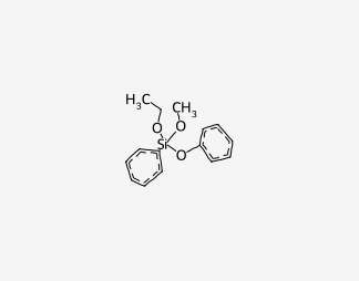 CCO[Si](OC)(Oc1ccccc1)c1ccccc1